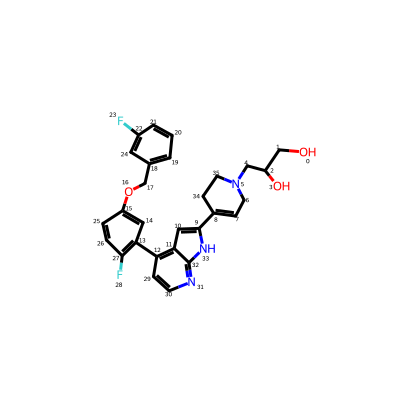 OCC(O)CN1CC=C(c2cc3c(-c4cc(OCc5cccc(F)c5)ccc4F)ccnc3[nH]2)CC1